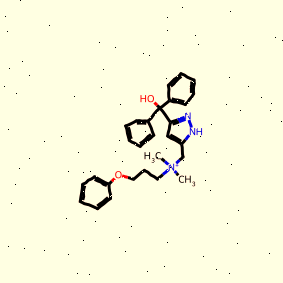 C[N+](C)(CCCOc1ccccc1)Cc1cc(C(O)(c2ccccc2)c2ccccc2)n[nH]1